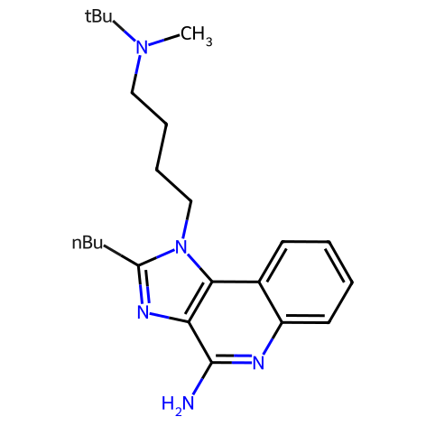 CCCCc1nc2c(N)nc3ccccc3c2n1CCCCN(C)C(C)(C)C